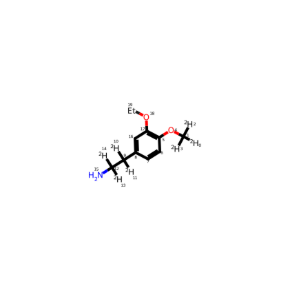 [2H]C([2H])([2H])Oc1ccc(C([2H])([2H])C([2H])([2H])N)cc1OCC